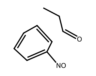 CCC=O.O=Nc1ccccc1